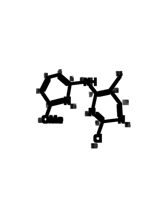 COc1cccc(Nc2nc(Cl)ncc2C)n1